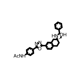 CC(=O)Nc1ccc(-c2nnc(-c3ccc4c(c3)C[C@@](CO)(NCc3ccccc3)CC4)o2)cc1